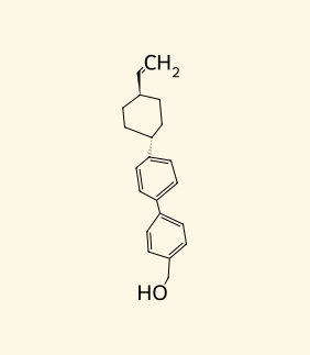 C=C[C@H]1CC[C@H](c2ccc(-c3ccc(CO)cc3)cc2)CC1